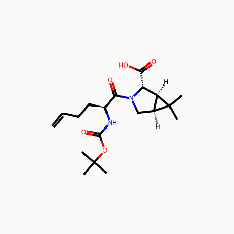 C=CCC[C@H](NC(=O)OC(C)(C)C)C(=O)N1C[C@H]2[C@@H]([C@H]1C(=O)O)C2(C)C